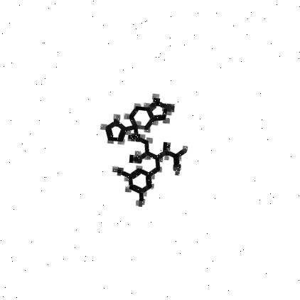 CC(=O)NC(Cc1cc(F)cc(F)c1)C(O)CNC1(c2cccs2)CCc2n[nH]cc2C1